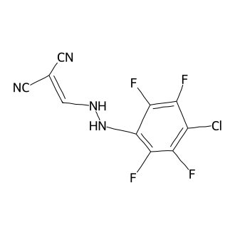 N#CC(C#N)=CNNc1c(F)c(F)c(Cl)c(F)c1F